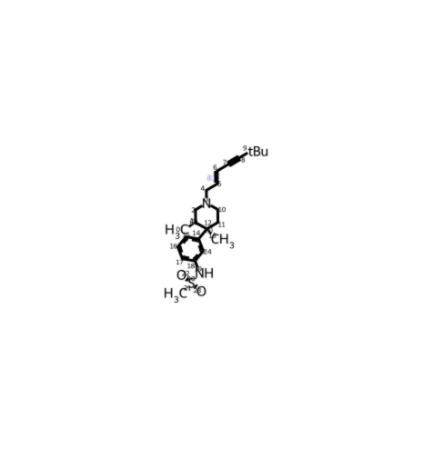 C[C@H]1CN(C/C=C/C#CC(C)(C)C)CC[C@]1(C)c1cccc(NS(C)(=O)=O)c1